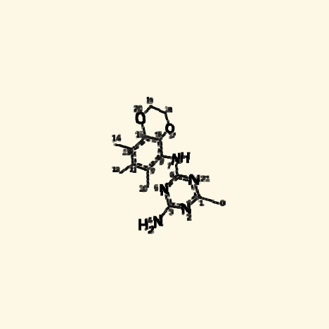 Cc1nc(N)nc(Nc2c(C)c(C)c(C)c3c2OCCO3)n1